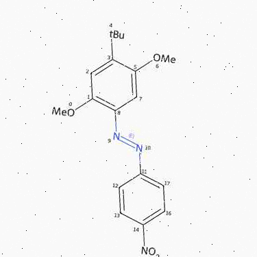 COc1cc(C(C)(C)C)c(OC)cc1/N=N/c1ccc([N+](=O)[O-])cc1